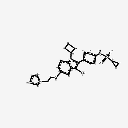 N#Cc1c(-c2ccc(NS(=O)(=O)C3CC3)cc2)n(C2CCC2)c2ccc(OCCn3cncn3)cc12